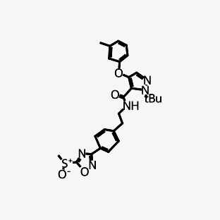 Cc1cccc(Oc2cnn(C(C)(C)C)c2C(=O)NCCc2ccc(-c3noc([S+](C)[O-])n3)cc2)c1